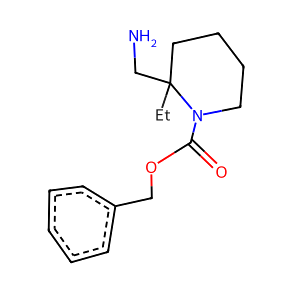 CCC1(CN)CCCCN1C(=O)OCc1ccccc1